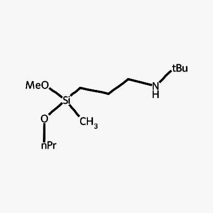 CCCO[Si](C)(CCCNC(C)(C)C)OC